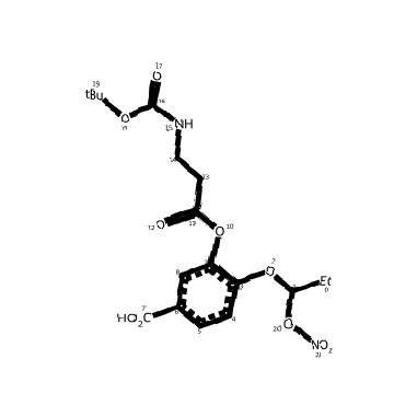 CCC(Oc1ccc(C(=O)O)cc1OC(=O)CCNC(=O)OC(C)(C)C)O[N+](=O)[O-]